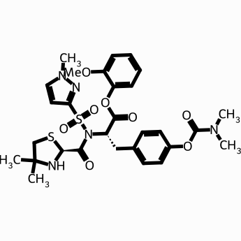 COc1ccccc1OC(=O)[C@H](Cc1ccc(OC(=O)N(C)C)cc1)N(C(=O)[C@H]1NC(C)(C)CS1)S(=O)(=O)c1ccn(C)n1